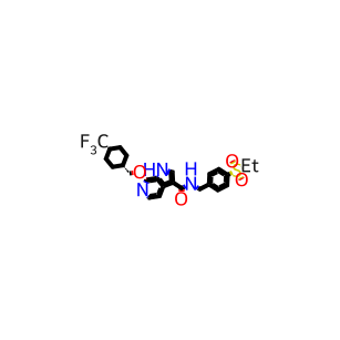 CCS(=O)(=O)c1ccc(CNC(=O)c2c[nH]c3c(OC[C@H]4CC[C@H](C(F)(F)F)CC4)nccc23)cc1